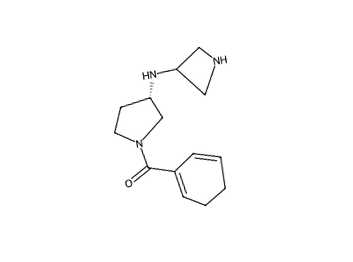 O=C(C1=CCCC=C1)N1CC[C@H](NC2CNC2)C1